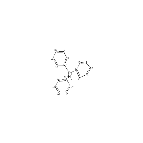 [c]1ccccc1[PH2](c1ccccc1)c1ccccc1